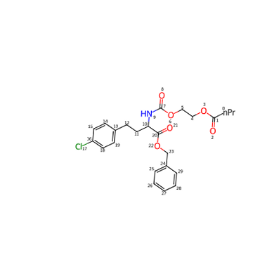 CCCC(=O)OCCOC(=O)NC(CCc1ccc(Cl)cc1)C(=O)OCc1ccccc1